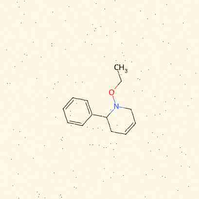 CCON1CC=CCC1c1ccccc1